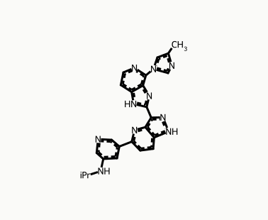 Cc1cn(-c2nccc3[nH]c(-c4n[nH]c5ccc(-c6cncc(NC(C)C)c6)nc45)nc23)cn1